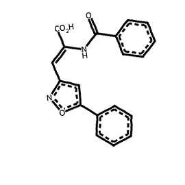 O=C(O)C(=Cc1cc(-c2ccccc2)on1)NC(=O)c1ccccc1